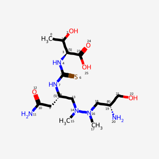 CC(O)[C@H](NC(=S)N[C@@H](CC(N)=O)CN(C)N(C)C[C@@H](N)CO)C(=O)O